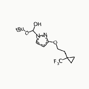 CC(C)(C)OC(O)n1ccc(OCCC2(C(F)(F)F)CC2)n1